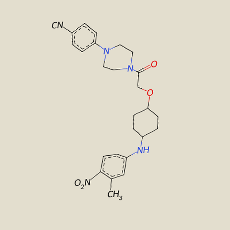 [C-]#[N+]c1ccc(N2CCN(C(=O)COC3CCC(Nc4ccc([N+](=O)[O-])c(C)c4)CC3)CC2)cc1